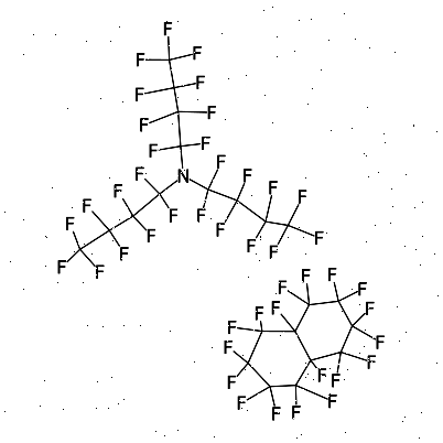 FC(F)(F)C(F)(F)C(F)(F)C(F)(F)N(C(F)(F)C(F)(F)C(F)(F)C(F)(F)F)C(F)(F)C(F)(F)C(F)(F)C(F)(F)F.FC1(F)C(F)(F)C(F)(F)C2(F)C(F)(F)C(F)(F)C(F)(F)C(F)(F)C2(F)C1(F)F